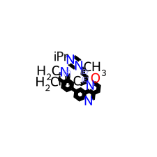 C=C/N=C\c1cc(-c2ccc3ncc4ccc(=O)n(/C(C=C)=C/C=C(\C)N5CCN(C(C)C)CC5)c4c3c2)ccc1C=C